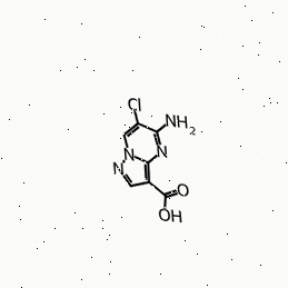 Nc1nc2c(C(=O)O)cnn2cc1Cl